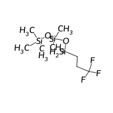 C[Si](C)(C)O[Si](C)(C)O[SiH2]CCC(F)(F)F